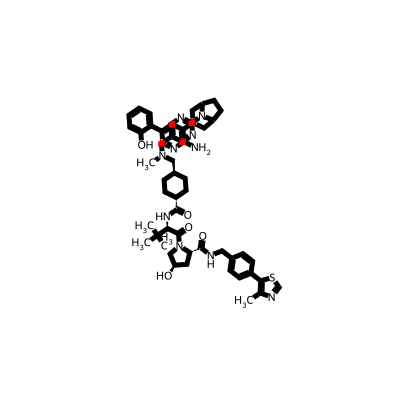 Cc1ncsc1-c1ccc(CNC(=O)[C@@H]2C[C@@H](O)CN2C(=O)[C@@H](NC(=O)[C@H]2CC[C@H](CN(C)Cc3cnc(N4C5CCC4CN(c4cc(-c6ccccc6O)nnc4N)C5)nc3)CC2)C(C)(C)C)cc1